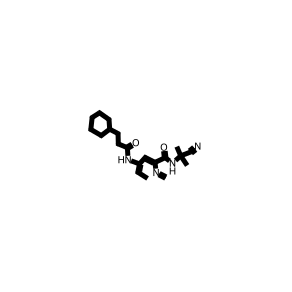 C=N/C(=C\C(=C/C)NC(=O)CCC1CCCCC1)C(=O)NC(C)(C)C#N